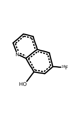 Oc1cc([18F])cc2cccnc12